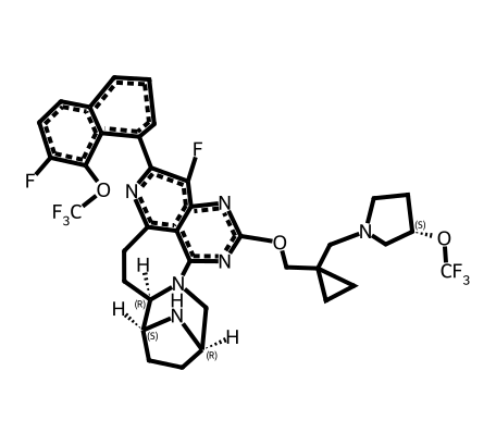 Fc1ccc2cccc(-c3nc4c5c(nc(OCC6(CN7CC[C@H](OC(F)(F)F)C7)CC6)nc5c3F)N3C[C@H]5CC[C@H](N5)[C@H]3CC4)c2c1OC(F)(F)F